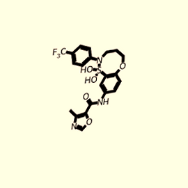 Cc1ncoc1C(=O)Nc1ccc2c(c1)S(O)(O)N(c1ccc(C(F)(F)F)cc1)CCCO2